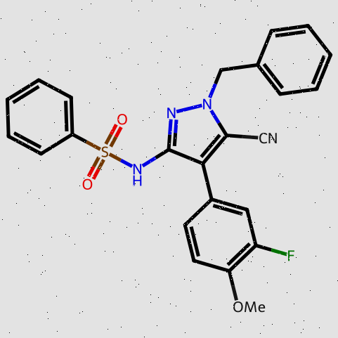 COc1ccc(-c2c(NS(=O)(=O)c3ccccc3)nn(Cc3ccccc3)c2C#N)cc1F